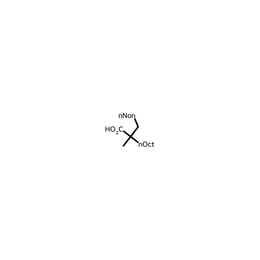 CCCCCCCCCCC(C)(CCCCCCCC)C(=O)O